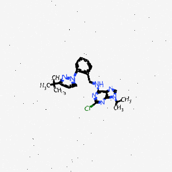 CC(C)n1cnc2c(NCc3ccccc3-n3ccc(C(C)(C)C)n3)nc(Cl)nc21